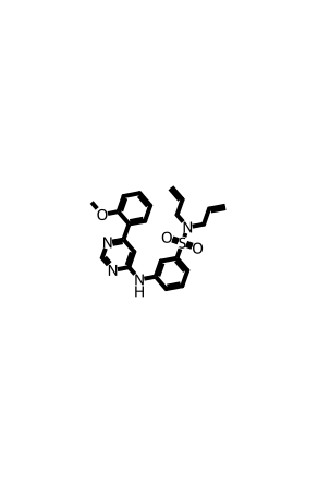 C=CCN(CC=C)S(=O)(=O)c1cccc(Nc2cc(-c3ccccc3OC)ncn2)c1